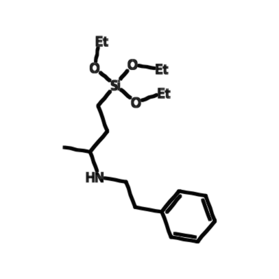 CCO[Si](CCC(C)NCCc1ccccc1)(OCC)OCC